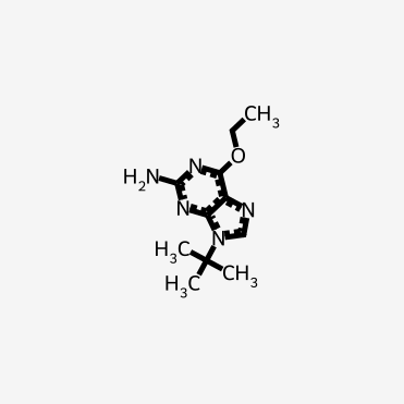 CCOc1nc(N)nc2c1ncn2C(C)(C)C